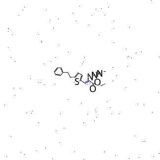 CCOC(=O)/C(=C/c1ccc(CCc2ccccc2)s1)N=[N+]=[N-]